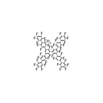 Cc1c(F)c(-c2cc(-c3c(F)c(F)c(-c4c(F)c(F)c(F)c(F)c4F)c(F)c3F)c(F)c(-c3c(F)c(-c4c(F)cc(-c5c(F)c(F)c(F)c(F)c5F)c(F)c4F)c(F)c(-c4c(F)c(F)c(-c5c(F)c(F)c(F)c(F)c5F)c(F)c4F)c3F)c2F)c(F)c(F)c1-c1c(F)c(F)c(F)c(F)c1F